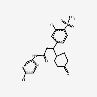 CS(=O)(=O)c1ccc([C@H](CC(=O)Nc2cnc(Cl)cn2)C2CCC(=O)CC2)cc1Cl